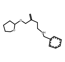 C=C(CCNCc1ccccc1)COC1CCCCO1